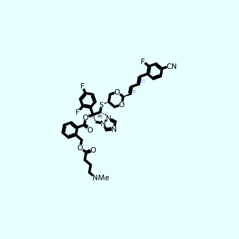 CNCCCC(=O)OCc1ccccc1C(=O)O[C@@](Cn1cncn1)(c1ccc(F)cc1F)[C@@H](C)S[C@H]1CO[C@H](/C=C/C=C/c2ccc(C#N)cc2F)OC1